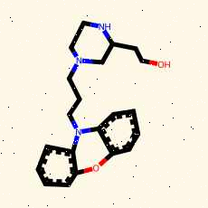 OCCC1CN(CCCN2c3ccccc3Oc3ccccc32)CCN1